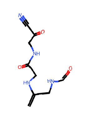 C=C(CNC=O)NCC(=O)NCC(=O)C#N